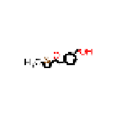 Cc1ccc(C(=O)CC2=CC=C(CO)C=CC2)s1